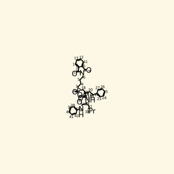 COP(=O)(CCCCN1C(=O)c2ccccc2C1=O)CC(CCc1ccccc1)C(=O)N[C@@H](CC(C)C)C(=O)Nc1ccccc1